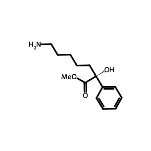 COC(=O)[C@@](O)(CCCCCN)c1ccccc1